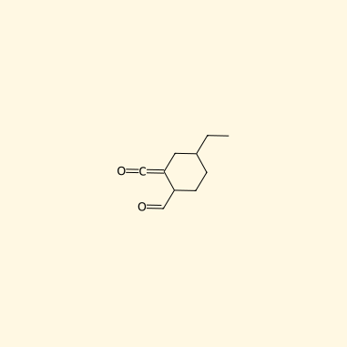 CCC1CCC(C=O)C(=C=O)C1